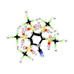 N#[C][Al]1[C](S(=O)(=O)C(F)(F)F)=C(S(=O)(=O)C(F)(F)F)C(S(=O)(=O)C(F)(F)F)=C(S(=O)(=O)C(F)(F)F)[CH]1S(=O)(=O)C(F)(F)F